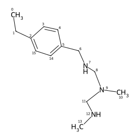 CCc1ccc(CNCN(C)CNC)cc1